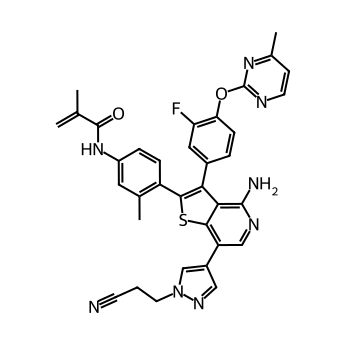 C=C(C)C(=O)Nc1ccc(-c2sc3c(-c4cnn(CCC#N)c4)cnc(N)c3c2-c2ccc(Oc3nccc(C)n3)c(F)c2)c(C)c1